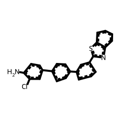 Nc1ccc(-c2ccc(-c3cccc(-c4nc5ccccc5s4)c3)cc2)cc1Cl